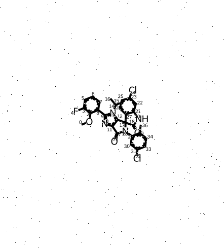 COc1c(F)cccc1-c1nc2c(n1C(C)C)C1(C(=O)Nc3cc(Cl)ccc31)N(c1cc(Cl)ccc1C)C2=O